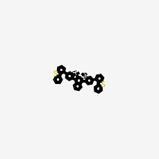 C[Si]1(C)c2cc(-c3cccc4sc5ccccc5c34)ccc2-c2c1c1c(c3ccccc23)-c2ccc(-c3cccc4sc5ccccc5c34)cc2[Si]1(C)C